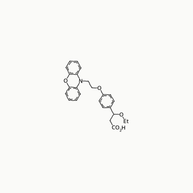 CCOC(CC(=O)O)c1ccc(OCCN2c3ccccc3Oc3ccccc32)cc1